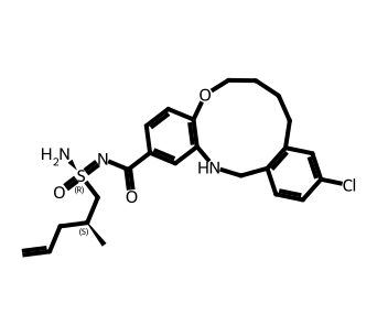 C=CC[C@H](C)C[S@](N)(=O)=NC(=O)c1ccc2c(c1)NCc1ccc(Cl)cc1CCCCO2